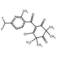 Cc1nc(C(F)F)ccc1C(=O)C1=C(Cl)C(C)(C)C(=O)C(C)(C)C1=O